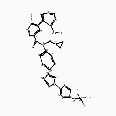 COc1ccccc1-c1cc(C(=O)N(CC2CC2)c2ccc(-c3ncn(-c4ccc(OC(F)(F)F)cc4)n3)cc2)ccc1F